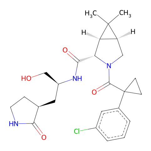 CC1(C)[C@@H]2[C@@H](C(=O)N[C@H](CO)C[C@@H]3CCNC3=O)N(C(=O)C3(c4cccc(Cl)c4)CC3)C[C@@H]21